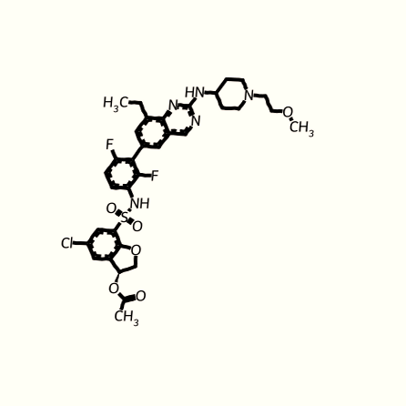 CCc1cc(-c2c(F)ccc(NS(=O)(=O)c3cc(Cl)cc4c3OC[C@H]4OC(C)=O)c2F)cc2cnc(NC3CCN(CCOC)CC3)nc12